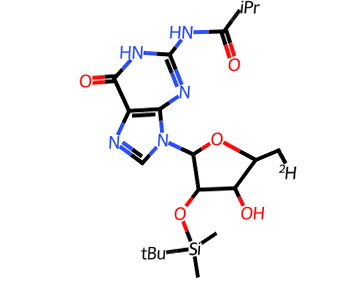 [2H]CC1OC(n2cnc3c(=O)[nH]c(NC(=O)C(C)C)nc32)C(O[Si](C)(C)C(C)(C)C)C1O